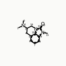 CN(C)C1Cc2cccc3c2n(c(=O)n3C)C1